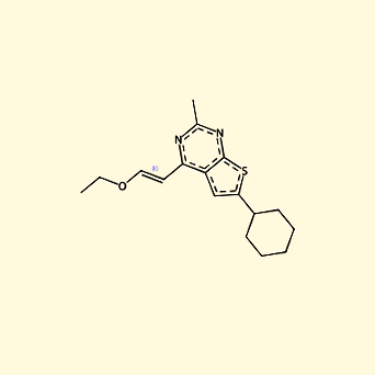 CCO/C=C/c1nc(C)nc2sc(C3CCCCC3)cc12